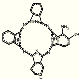 Nc1ccc2c3nc4nc(nc5[nH]c(nc6nc(nc([nH]3)c2c1N)-c1ccccc1-6)c1ccccc51)-c1ccccc1-4.[Ru]